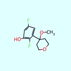 COC1(c2cc(F)cc(O)c2F)CCOCC1